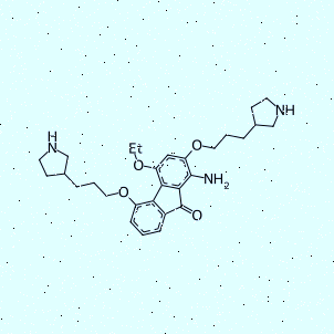 CCOc1cc(OCCCC2CCNC2)c(N)c2c1-c1c(OCCCC3CCNC3)cccc1C2=O